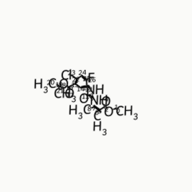 CCOC(=O)C(C)=C(C)NC(=O)Nc1cc(C(=O)OC(C)C)c(Cl)cc1F